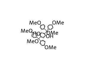 COc1ccc(C(OC)(c2ccc(OC)cc2)c2cc(O)c(C(OC)(c3ccc(OC)cc3)c3ccc(OC)cc3)cc2O)cc1